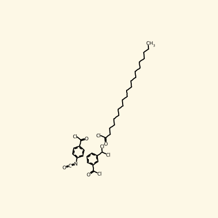 CCCCCCCCCCCCCCCCCCCCC(=O)Cl.O=C(Cl)c1cccc(C(Cl)Cl)c1.O=C=Nc1ccc(C(=O)Cl)cc1